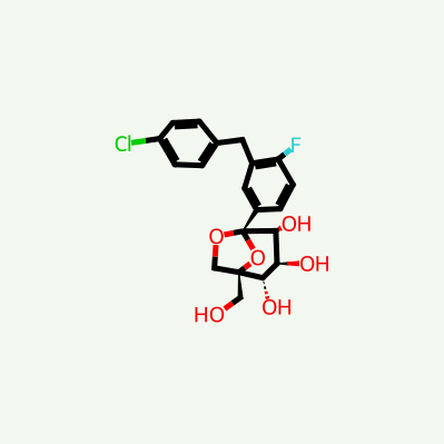 OC[C@@]12CO[C@@](c3ccc(F)c(Cc4ccc(Cl)cc4)c3)(O1)[C@@H](O)[C@@H](O)[C@@H]2O